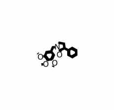 COc1cc(CN2CCC(c3ccccc3)C2=O)cc(OC)c1OC